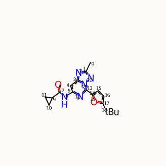 Cc1nc2cc(NC(=O)C3CC3)nc(-c3ccc(C(C)(C)C)o3)n2n1